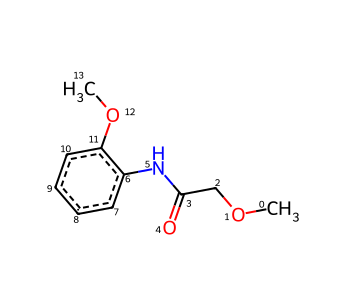 COCC(=O)Nc1c[c]ccc1OC